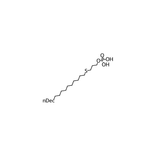 CCCCCCCCCCCCCCCCCCCCSCCCOP(=O)(O)O